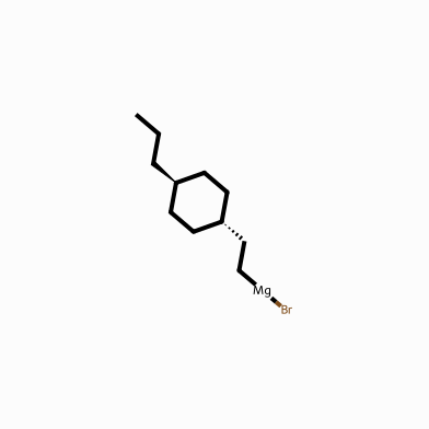 CCC[C@H]1CC[C@H](C[CH2][Mg][Br])CC1